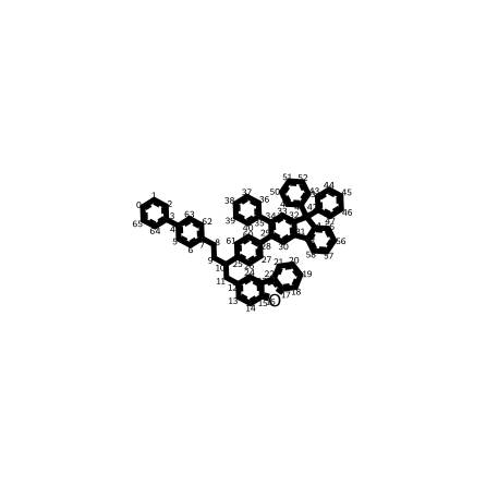 c1ccc(-c2ccc(CCC(Cc3ccc4oc5ccccc5c4c3)c3ccc(-c4cc5c(cc4-c4ccccc4)C(c4ccccc4)(c4ccccc4)c4ccccc4-5)cc3)cc2)cc1